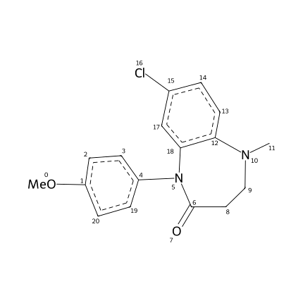 COc1ccc(N2C(=O)CCN(C)c3ccc(Cl)cc32)cc1